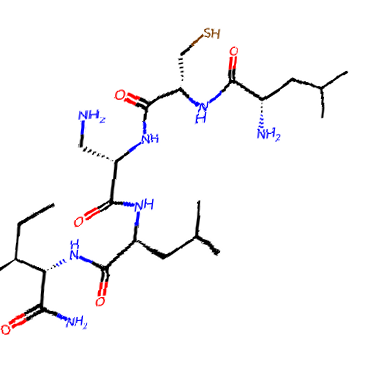 CC[C@H](C)[C@H](NC(=O)[C@H](CC(C)C)NC(=O)[C@H](CN)NC(=O)[C@H](CS)NC(=O)[C@@H](N)CC(C)C)C(N)=O